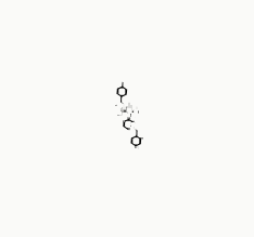 Cc1ccc([C@H](CC(=O)O)NC(=O)Nc2c(O)ccn(Cc3ccc(Cl)cc3Cl)c2=O)cc1